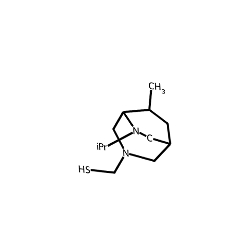 CC1CC2CN(CS)CC1N(C(C)C)C2